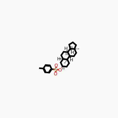 Cc1ccc(S(=O)(=O)O[C@H]2CC[C@@]3(C)[C@H](CC[C@H]4[C@@H]5CCC[C@@]5(C)CC[C@@H]43)C2)cc1